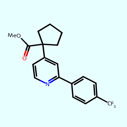 COC(=O)C1(c2ccnc(-c3ccc(C(F)(F)F)cc3)c2)CCCC1